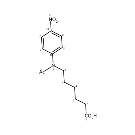 CC(=O)N(CCCCCC(=O)O)c1ccc([N+](=O)[O-])cc1